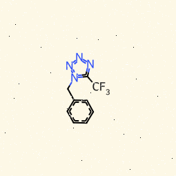 FC(F)(F)c1nnnn1Cc1ccccc1